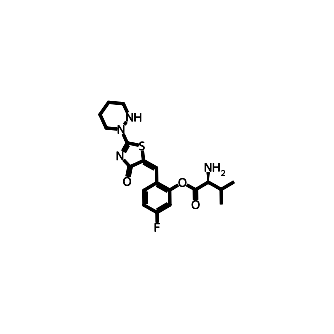 CC(C)[C@H](N)C(=O)Oc1cc(F)ccc1/C=C1/SC(N2CCCCN2)=NC1=O